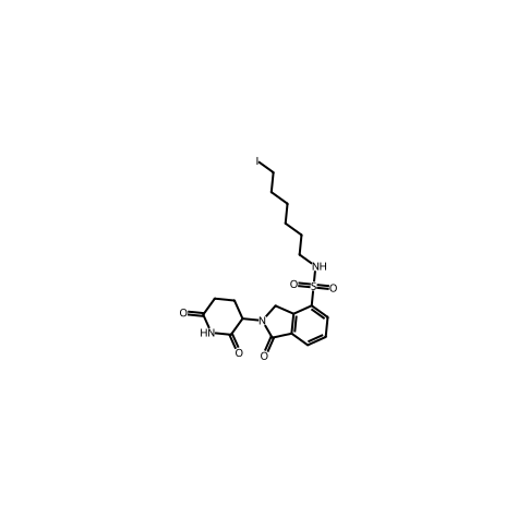 O=C1CCC(N2Cc3c(cccc3S(=O)(=O)NCCCCCCI)C2=O)C(=O)N1